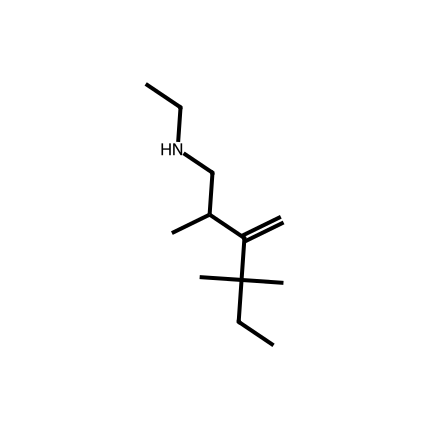 C=C(C(C)CNCC)C(C)(C)CC